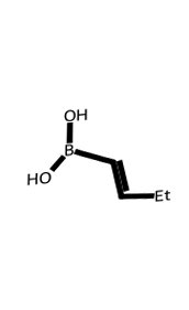 CC/C=C/B(O)O